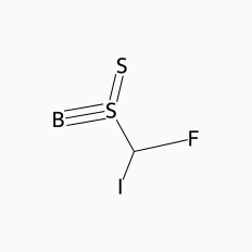 B#S(=S)C(F)I